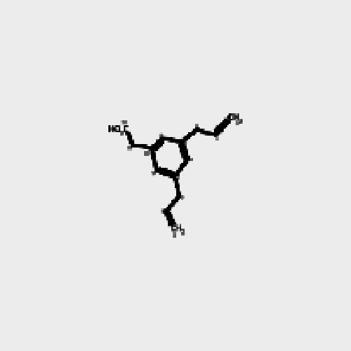 C=CCc1cc(CC=C)cc(CC(=O)O)c1